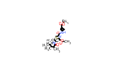 CC[C@@H](C)[C@H](C)C(=O)N(C)[C@H](C[C@@H](OC(C)=O)c1nc(C(=O)NC23CC(C(=O)OC)(C2)C3)cs1)C(C)C